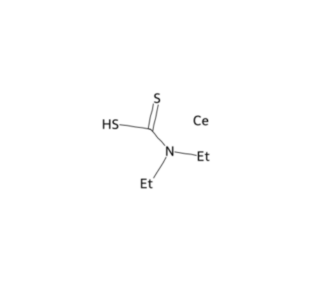 CCN(CC)C(=S)S.[Ce]